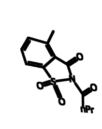 CCCC(=O)N1C(=O)c2c(C)cccc2S1(=O)=O